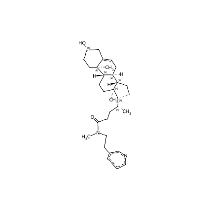 C[C@H](CCC(=O)N(C)CCc1cccnc1)[C@H]1CC[C@H]2[C@@H]3CC=C4C[C@@H](O)CC[C@]4(C)[C@H]3CC[C@]12C